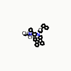 C/C=C\C=C(/C)n1c2ccccc2c2cc(N(c3ccc(-c4cccc5ccccc45)cc3)c3ccc4c(c3)C3(c5ccccc5-c5ccccc53)c3ccccc3-4)ccc21